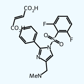 CNCc1cn(S(=O)(=O)c2c(F)cccc2F)c(-c2ccccc2)n1.O=C(O)C=CC(=O)O